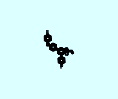 CCc1cc2cc(-c3ccc(Oc4ccc(F)cc4)cc3)cc(-c3ccc(F)cc3)c2o1